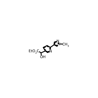 CCOC(=O)C(O)c1ccc(-c2cnn(C)c2)nc1